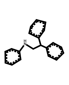 c1ccc(NCC(c2ccccc2)c2ccccc2)cc1